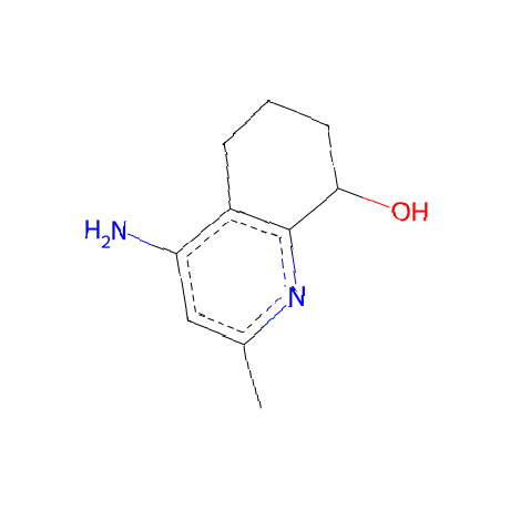 Cc1cc(N)c2c(n1)C(O)CCC2